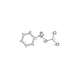 ClC(Cl)O[SiH2]c1ccccc1